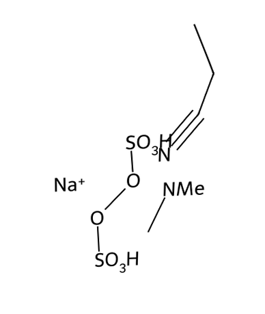 CCC#N.C[N-]C.O=S(=O)(O)OOS(=O)(=O)O.[Na+]